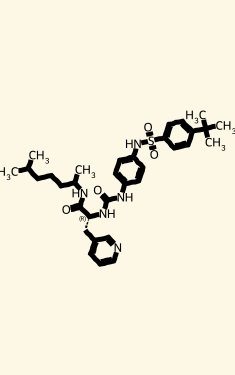 CC(C)CCCC(C)NC(=O)[C@@H](Cc1cccnc1)NC(=O)Nc1ccc(NS(=O)(=O)c2ccc(C(C)(C)C)cc2)cc1